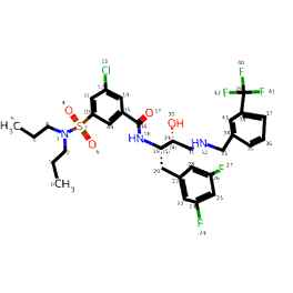 CCCN(CCC)S(=O)(=O)c1cc(Cl)cc(C(=O)N[C@@H](Cc2cc(F)cc(F)c2)[C@H](O)CNCc2cccc(C(F)(F)F)c2)c1